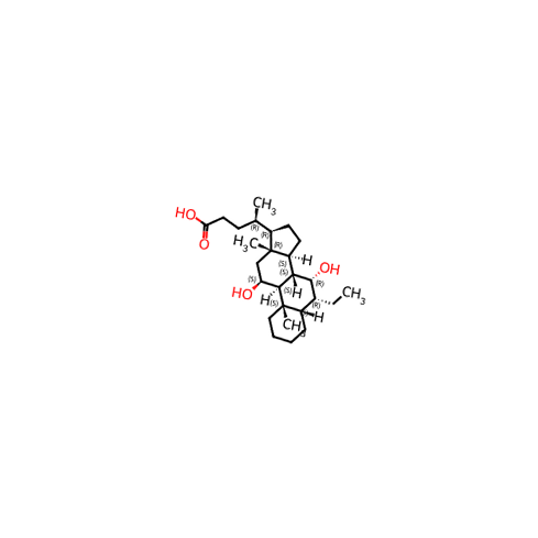 CC[C@H]1[C@@H](O)[C@@H]2[C@H]([C@@H](O)C[C@]3(C)[C@@H]([C@H](C)CCC(=O)O)CC[C@@H]23)[C@@]2(C)CCCC[C@@H]12